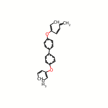 C=C/C=C\C(=C/C)Oc1ccc(-c2ccc(OC(/C=C\C)=C/C)cc2)cc1